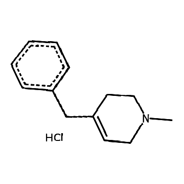 CN1CC=C(Cc2ccccc2)CC1.Cl